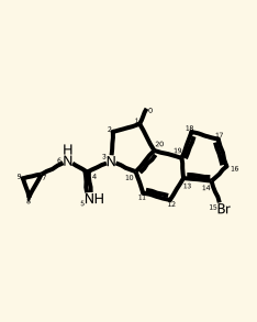 CC1CN(C(=N)NC2CC2)c2ccc3c(Br)cccc3c21